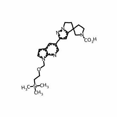 C[Si](C)(C)CCOCn1ccc2cc(-c3cc4n(n3)CCC43CCN(C(=O)O)C3)cnc21